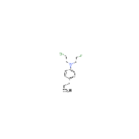 O=C(O)CCc1ccc(N(CCCl)CCCl)cc1